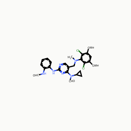 COc1cc(OC)c(Cl)c(N(C)Cc2cnc(Nc3ccccc3NC=O)nc2N(C=O)C2CC2)c1Cl